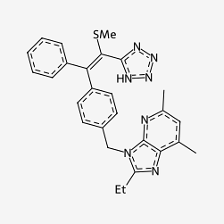 CCc1nc2c(C)cc(C)nc2n1Cc1ccc(C(=C(SC)c2nnn[nH]2)c2ccccc2)cc1